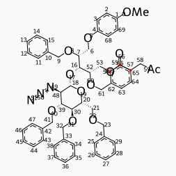 COc1ccc(OC[C@@H](OCc2ccccc2)[C@@H](O[C@@H]2O[C@H](COCc3ccccc3)[C@@H](OCc3ccccc3)[C@H](OCc3ccccc3)[C@H]2N=[N+]=[N-])[C@H](COC(=O)CCC(C)=O)OCc2ccccc2)cc1